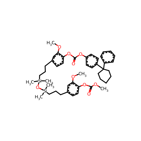 COC(=O)Oc1ccc(CCC[Si](C)(C)O[Si](C)(C)CCCc2ccc(OC(=O)Oc3ccc(C4(c5ccccc5)CCCCC4)cc3)c(OC)c2)cc1OC